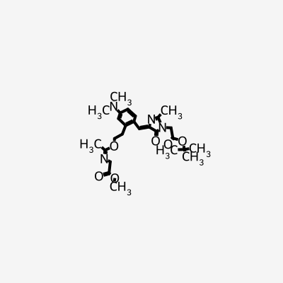 COC(=O)C/N=C(/C)OCCc1cc(N(C)C)ccc1/C=C1\N=C(C)N(CC(=O)OC(C)(C)C)C1=O